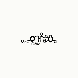 CC[C@@H](Oc1ncc(Cl)cc1Cl)C(=O)NCc1ccc(OC)c(OC)c1